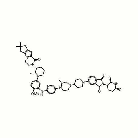 COc1ncc(N2CCC[C@@H](N3CCn4c(cc5c4CC(C)(C)C5)C3=O)[C@H]2C)cc1Nc1ccc(N2CCN(C3CCN(c4ccc5c(c4)C(=O)N(C4CCC(=O)NC4=O)C5=O)CC3)C[C@@H]2C)cn1